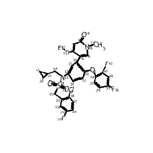 CCOc1cc(=O)n(C)cc1-c1cc(N(CC2CC2)S(=O)(=O)Cc2cc(F)ccc2Cl)ccc1Oc1ccc(F)cc1F